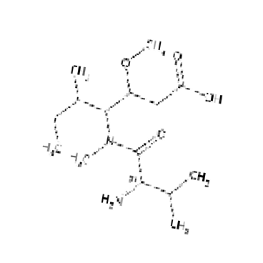 CCC(C)C(C(CC(=O)O)OC)N(C)C(=O)[C@@H](N)C(C)C